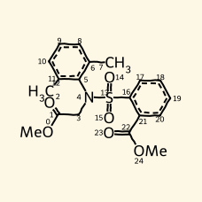 COC(=O)CN(c1c(C)cccc1C)S(=O)(=O)c1ccccc1C(=O)OC